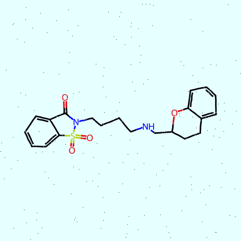 O=C1c2ccccc2S(=O)(=O)N1CCCCNCC1CCc2ccccc2O1